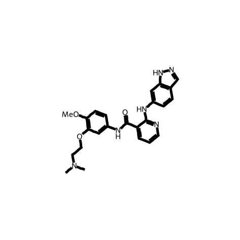 COc1ccc(NC(=O)c2cccnc2Nc2ccc3cn[nH]c3c2)cc1OCCN(C)C